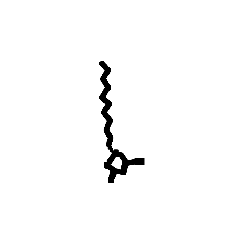 CCCCCCCCCCC[C@@H]1CC(O)=CC(=O)O1